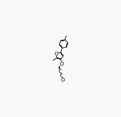 Cc1ccc(-c2cc(OC=C=C=O)c(C)o2)cc1